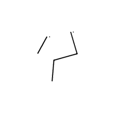 [CH2]C.[CH2]CCC